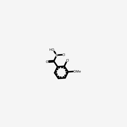 COc1cccc(C(=O)N(O)Cl)c1Cl